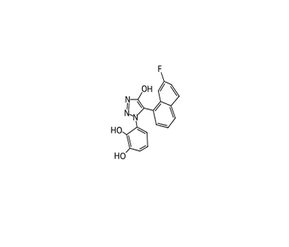 Oc1cccc(-n2nnc(O)c2-c2cccc3ccc(F)cc23)c1O